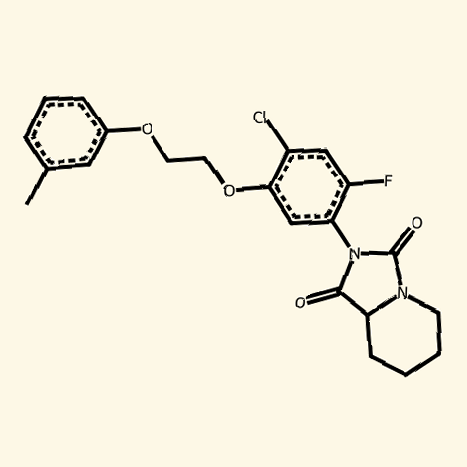 Cc1cccc(OCCOc2cc(N3C(=O)C4CCCCN4C3=O)c(F)cc2Cl)c1